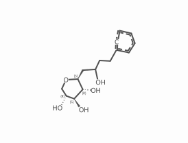 OC(CCc1ccccc1)C[C@@H]1OC[C@@H](O)[C@H](O)[C@H]1O